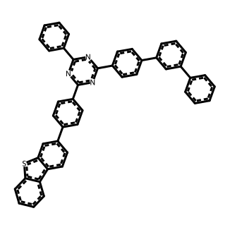 c1ccc(-c2cccc(-c3ccc(-c4nc(-c5ccccc5)nc(-c5ccc(-c6ccc7c(c6)sc6ccccc67)cc5)n4)cc3)c2)cc1